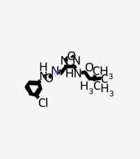 CC(C)(C)CC(=O)Nc1nonc1/C=N/ONc1cccc(Cl)c1